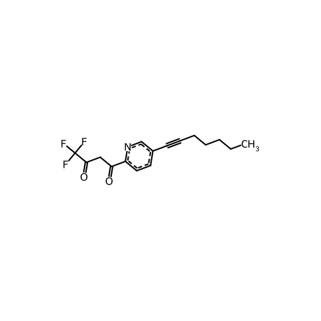 CCCCCC#Cc1ccc(C(=O)CC(=O)C(F)(F)F)nc1